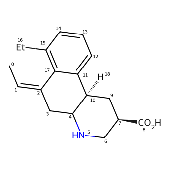 C/C=C1/CC2NC[C@H](C(=O)O)C[C@@H]2c2cccc(CC)c21